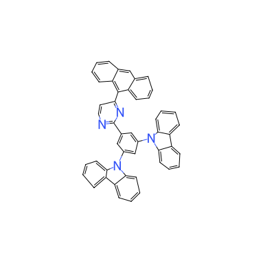 c1ccc2c(-c3ccnc(-c4cc(-n5c6ccccc6c6ccccc65)cc(-n5c6ccccc6c6ccccc65)c4)n3)c3ccccc3cc2c1